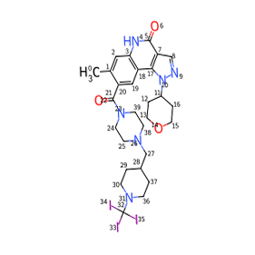 Cc1cc2[nH]c(=O)c3cnn(C4CCOCC4)c3c2cc1C(=O)N1CCN(CC2CCN(C(I)(I)I)CC2)CC1